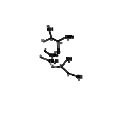 CC(=O)O.CC(O)CO.COC.COC(=O)C(C)O